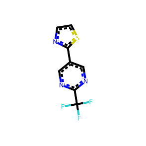 FC(F)(F)c1ncc(-c2nccs2)cn1